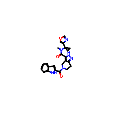 CN(C(=O)c1[nH]nc2c1CN(C(=O)c1cc3ccccc3[nH]1)CC2)C1(c2cocn2)CC1